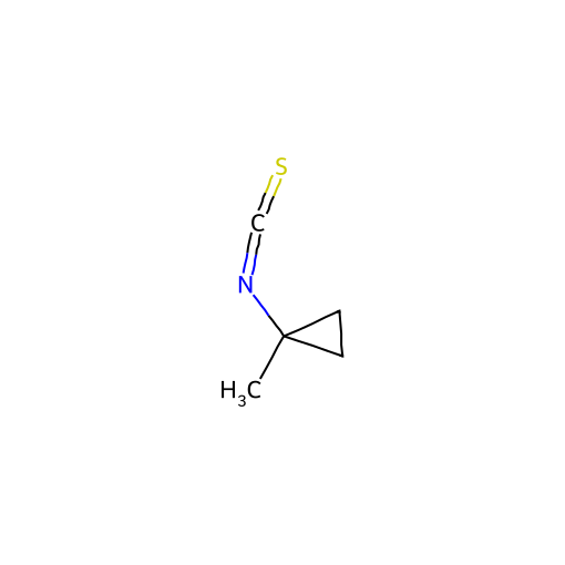 CC1(N=C=S)CC1